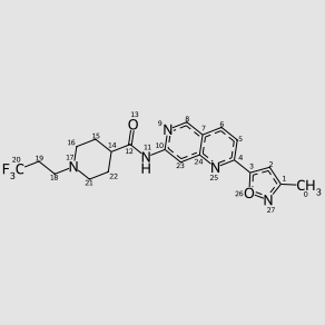 Cc1cc(-c2ccc3cnc(NC(=O)C4CCN(CCC(F)(F)F)CC4)cc3n2)on1